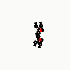 CC(C)c1cccc(N(c2ccc3cc4c(cc3c2)oc2cc3cc(N(c5cccc(C(C)C)c5)c5cc(C(C)C)ccc5-c5ccccc5)ccc3cc24)c2cc(C(C)C)ccc2-c2ccccc2)c1